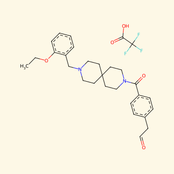 CCOc1ccccc1CN1CCC2(CC1)CCN(C(=O)c1ccc(CC=O)cc1)CC2.O=C(O)C(F)(F)F